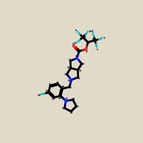 O=C(OC(C(F)(F)F)C(F)(F)F)N1CC2CN(Cc3ccc(F)cc3N3CCCC3)CC2C1